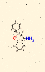 NC(=C1Cc2ccccc2C1=O)c1ccccc1